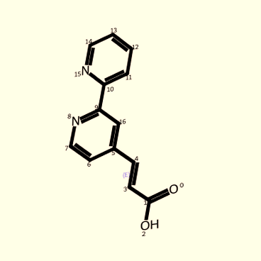 O=C(O)/C=C/c1ccnc(-c2ccccn2)c1